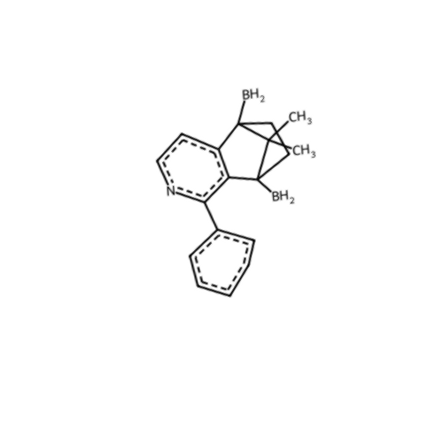 BC12CCC(B)(c3c1ccnc3-c1ccccc1)C2(C)C